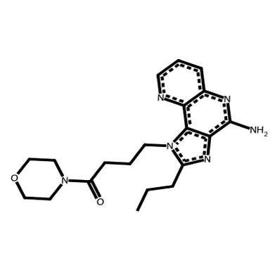 CCCc1nc2c(N)nc3cccnc3c2n1CCCC(=O)N1CCOCC1